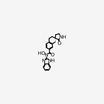 O=C(c1ccc2c(c1)C[C@@]1(CCNC1=O)CC2)N(O)c1nc2ccccc2[nH]1